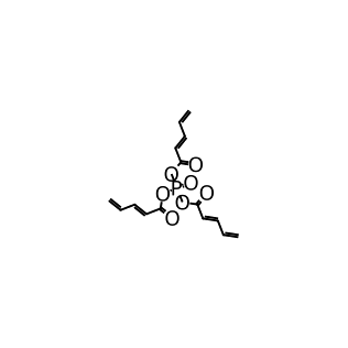 C=C/C=C/C(=O)OP(=O)(OC(=O)/C=C/C=C)OC(=O)/C=C/C=C